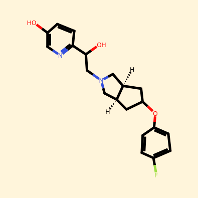 Oc1ccc(C(O)CN2C[C@H]3CC(Oc4ccc(F)cc4)C[C@H]3C2)nc1